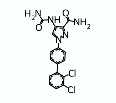 NC(=O)Nc1cn(-c2ccc(-c3cccc(Cl)c3Cl)cc2)nc1C(N)=O